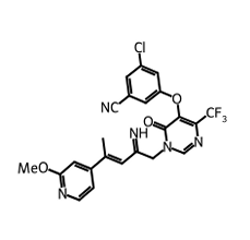 COc1cc(/C(C)=C/C(=N)Cn2cnc(C(F)(F)F)c(Oc3cc(Cl)cc(C#N)c3)c2=O)ccn1